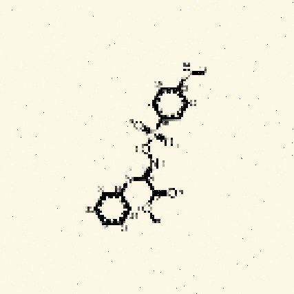 COC(=O)/C(=N/OS(=O)(=O)c1ccc(OC)cc1)Sc1ccccc1